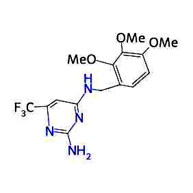 COc1ccc(CNc2cc(C(F)(F)F)nc(N)n2)c(OC)c1OC